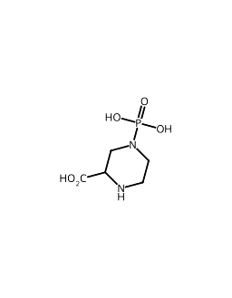 O=C(O)C1CN(P(=O)(O)O)CCN1